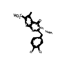 Cc1c(C(=O)O)sc2nc(Cc3ccc(Cl)c(Cl)c3)[nH]c(=O)c12.[NaH]